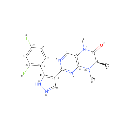 CC[C@@H]1C(=O)N(C)c2cnc(-c3cn[nH]c3-c3ccc(F)cc3F)nc2N1C(C)C